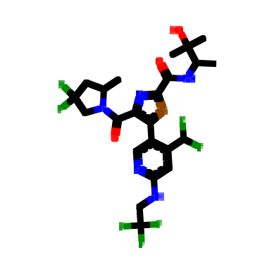 CC1CC(F)(F)CN1C(=O)c1nc(C(=O)NC(C)C(C)(C)O)sc1-c1cnc(NCC(F)(F)F)cc1C(F)F